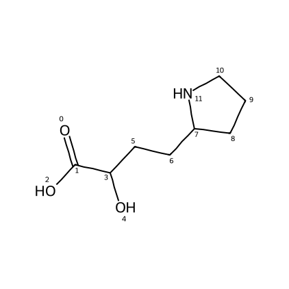 O=C(O)C(O)CCC1CCCN1